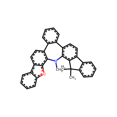 CN1c2c(ccc3c2C(C)(C)c2ccccc2-3)-c2ccccc2-c2ccc3c(oc4ccccc43)c21